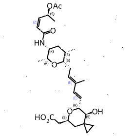 CC(=O)O[C@@H](C)/C=C\C(=O)N[C@@H]1C[C@H](C)[C@H](C/C=C(C)/C=C/[C@H]2O[C@H](CC(=O)O)CC3(CC3)[C@@H]2O)O[C@@H]1C